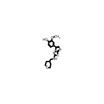 COc1cc(-c2cnc3sc(NCC4CCOCC4)nn23)ccc1O